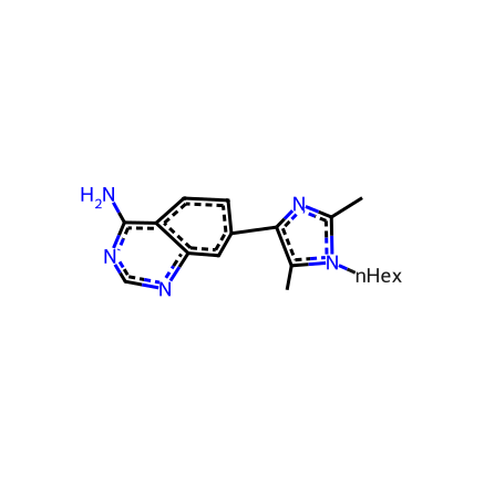 CCCCCCn1c(C)nc(-c2ccc3c(N)ncnc3c2)c1C